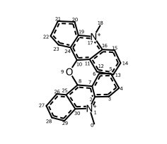 C[n+]1c2ccccc2c(Oc2c3ccccc3[n+](C)c3ccccc23)c2ccccc21